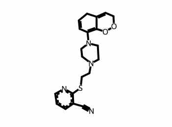 N#Cc1cccnc1SCCN1CCN(C2=C3OOCC=C3CC=C2)CC1